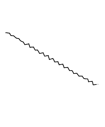 [CH2]CCCCCCCCCCCCCCCCCCCCCCCCCCCCCCCCCCCCC